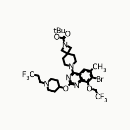 Cc1cc2c(N3CCC4(CC3)CN(C(=O)OC(C)(C)C)C4)nc(OC3CCN(CCC(F)(F)F)CC3)nc2c(OCC(F)(F)F)c1Br